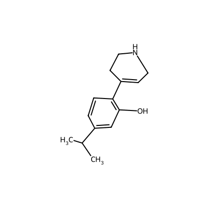 CC(C)c1ccc(C2=CCNCC2)c(O)c1